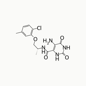 Cc1ccc(Cl)c(OC[C@@H](C)NC(=O)c2[nH]c(=O)[nH]c(=O)c2N)c1